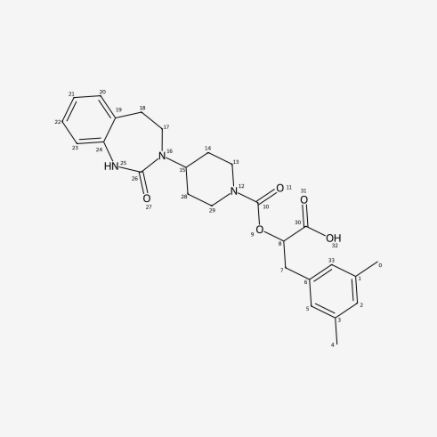 Cc1cc(C)cc(CC(OC(=O)N2CCC(N3CCc4ccccc4NC3=O)CC2)C(=O)O)c1